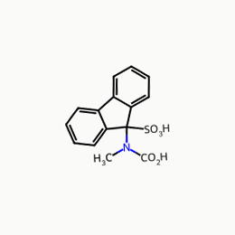 CN(C(=O)O)C1(S(=O)(=O)O)c2ccccc2-c2ccccc21